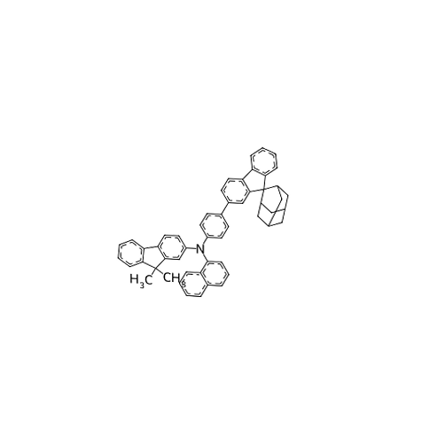 CC1(C)c2ccccc2-c2ccc(N(c3ccc(-c4ccc5c(c4)C4(c6ccccc6-5)C5CC6CC(C5)CC4C6)cc3)c3cccc4ccccc34)cc21